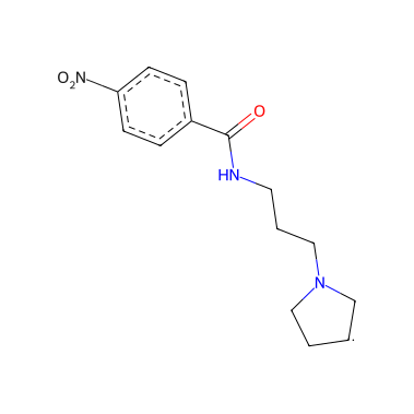 O=C(NCCCN1C[CH]CC1)c1ccc([N+](=O)[O-])cc1